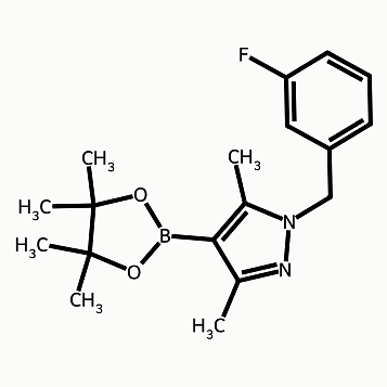 Cc1nn(Cc2cccc(F)c2)c(C)c1B1OC(C)(C)C(C)(C)O1